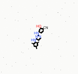 Cc1cc(C)c(Nc2ccnc(Nc3ccc(C#N)c(O)c3)n2)c(C)c1